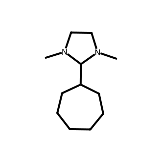 CN1CCN(C)C1C1CCCCCC1